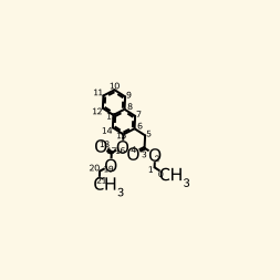 CCOC(=O)Cc1cc2ccccc2cc1OC(=O)OCC